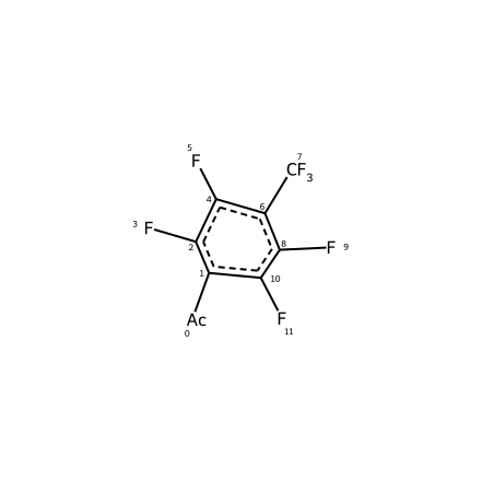 CC(=O)c1c(F)c(F)c(C(F)(F)F)c(F)c1F